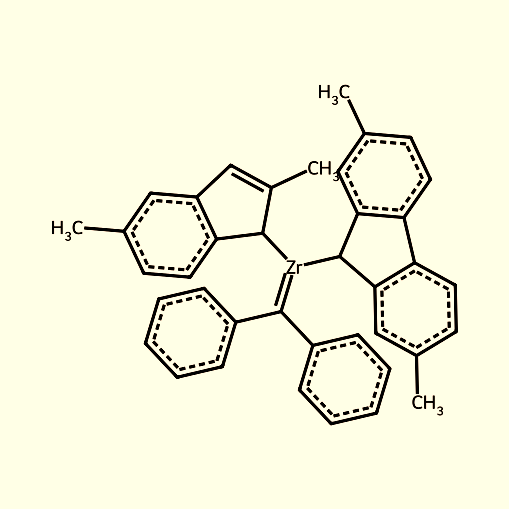 CC1=Cc2cc(C)ccc2[CH]1[Zr](=[C](c1ccccc1)c1ccccc1)[CH]1c2cc(C)ccc2-c2ccc(C)cc21